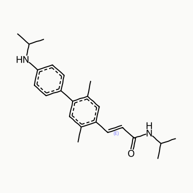 Cc1cc(-c2ccc(NC(C)C)cc2)c(C)cc1/C=C/C(=O)NC(C)C